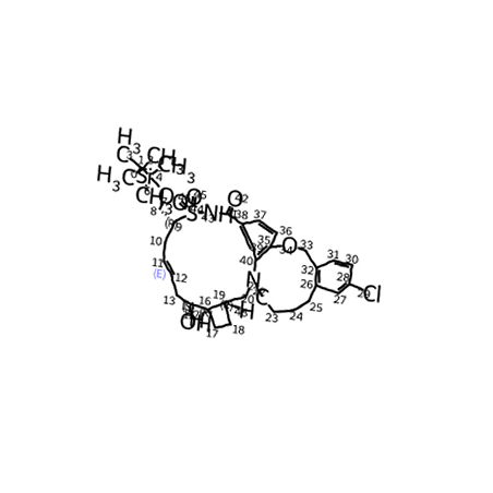 CC(C)(C)[Si](C)(C)OC[C@H]1C/C=C/C[C@H](O)[C@@H]2CC[C@H]2CN2CCCCc3cc(Cl)ccc3COc3ccc(cc32)C(=O)NS1(=O)=O